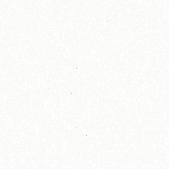 Nc1nc2cnc(C(=O)N(Cc3ccc(C(F)(F)F)nn3)CC(F)(F)F)cc2c2c1COC2